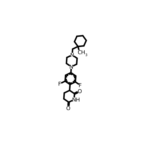 CC1(CN2CCN(c3cc(F)c(C4CCC(=O)NC4=O)c(F)c3)CC2)CCCCC1